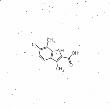 Cc1c(C(=O)O)[nH]c2c(C)c(Cl)ccc12